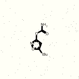 CC(C)(C)c1cc(OC(N)=O)no1